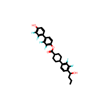 CCCC(O)c1ccc(C2CCC(C(=O)Oc3ccc(-c4ccc(O)c(F)c4F)c(F)c3F)CC2)c(F)c1F